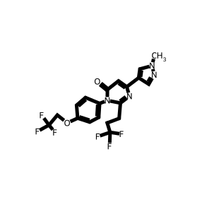 Cn1cc(-c2cc(=O)n(-c3ccc(OCC(F)(F)F)cc3)c(CCC(F)(F)F)n2)cn1